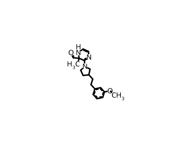 COc1cccc(CCC2CCN(C3=NC=CNC3(C)C=O)C2)c1